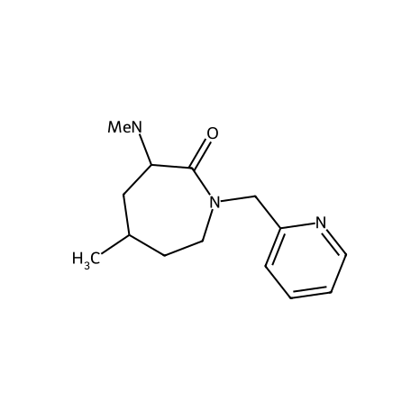 CNC1CC(C)CCN(Cc2ccccn2)C1=O